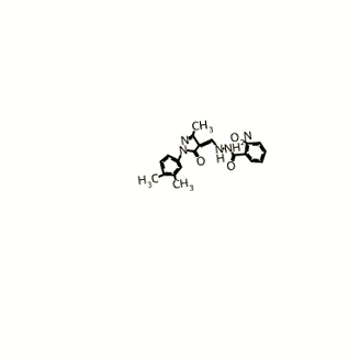 CC1=NN(c2ccc(C)c(C)c2)C(=O)C1=CNNC(=O)c1ccccc1[N+](=O)[O-]